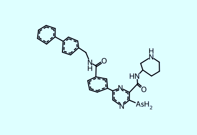 O=C(NCc1ccc(-c2ccccc2)cc1)c1cccc(-c2cnc([AsH2])c(C(=O)NC3CCCNC3)n2)c1